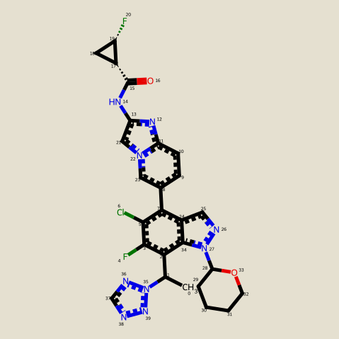 CC(c1c(F)c(Cl)c(-c2ccc3nc(NC(=O)[C@@H]4C[C@@H]4F)cn3c2)c2cnn(C3CCCCO3)c12)n1ncnn1